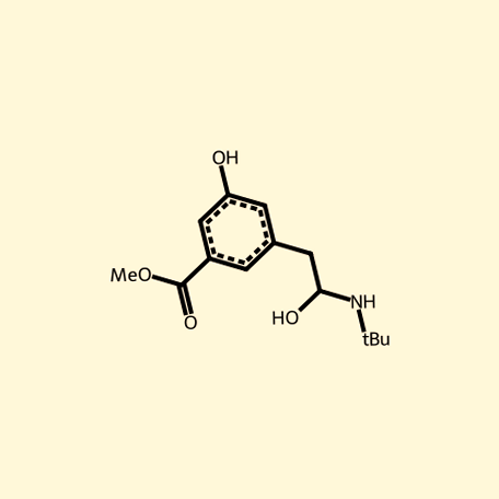 COC(=O)c1cc(O)cc(CC(O)NC(C)(C)C)c1